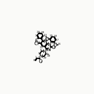 C=CC(=O)N1CCN(c2nc(=O)n(-c3c(OC)cccc3OC)c3nc(-c4ccccc4F)c(Cl)cc23)[C@@H](C)C1